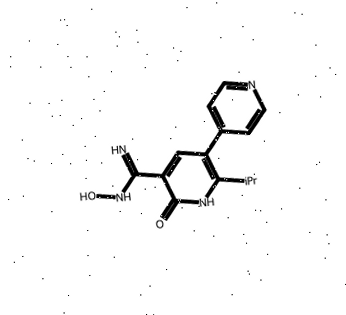 CC(C)c1[nH]c(=O)c(C(=N)NO)cc1-c1ccncc1